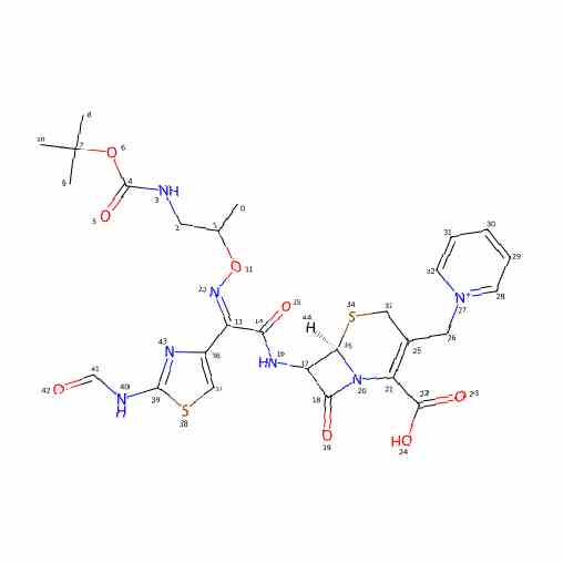 CC(CNC(=O)OC(C)(C)C)O/N=C(\C(=O)NC1C(=O)N2C(C(=O)O)=C(C[n+]3ccccc3)CS[C@H]12)c1csc(NC=O)n1